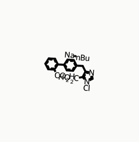 CCC[CH2][Na].O=C(O)c1ccccc1-c1ccc(Cc2ncn(Cl)c2C(=O)O)cc1